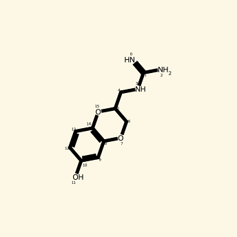 N=C(N)NCC1COc2cc(O)ccc2O1